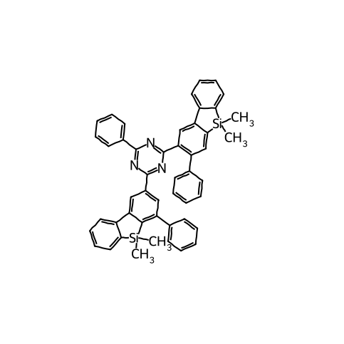 C[Si]1(C)c2ccccc2-c2cc(-c3nc(-c4ccccc4)nc(-c4cc(-c5ccccc5)c5c(c4)-c4ccccc4[Si]5(C)C)n3)c(-c3ccccc3)cc21